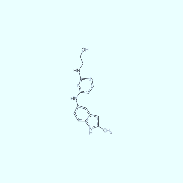 Cc1cc2cc(Nc3ccnc(NCCO)n3)ccc2[nH]1